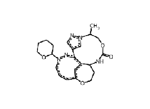 CC1COC(=O)NC2CCOc3cccn(C4CCCCO4)nc(c2c3)-c2cnn1c2